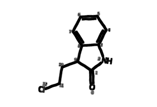 O=C1Nc2ccccc2C1CCCl